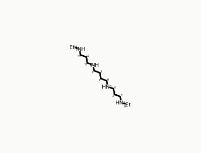 CCNCCCNCCCCNCCCNCC